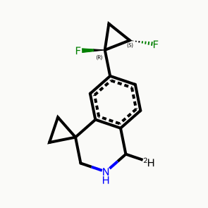 [2H]C1NCC2(CC2)c2cc([C@]3(F)C[C@@H]3F)ccc21